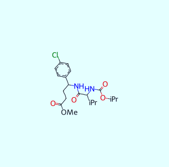 COC(=O)CCC(NC(=O)C(NC(=O)OC(C)C)C(C)C)c1ccc(Cl)cc1